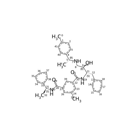 Cc1ccc([C@@H](C)NC[C@@H](O)[C@H](Cc2ccccc2)NC(=O)c2cc(C)cc(C(=O)N[C@@H](C)c3ccccc3)c2)cc1